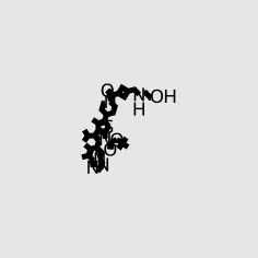 Cc1c(-c2c(C(C)C)c3c(C)c(C4CCN(C(=O)C5CC(CNCCO)C5)CC4)sc3n2C(=O)OC(C)(C)C)cn2ncnc2c1C